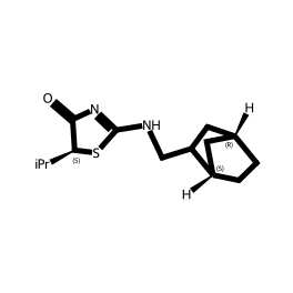 CC(C)[C@@H]1SC(NCC2C[C@@H]3CC[C@H]2C3)=NC1=O